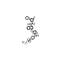 CC1OC(N2CCC(Nc3nccc(Oc4ccc(NC(=O)c5cc(F)cc(N6CCCCC6)c5)c5ccccc45)n3)CC2)O1